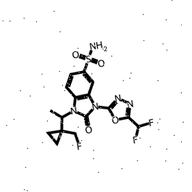 CC(n1c(=O)n(-c2nnc(C(F)F)o2)c2cc(S(N)(=O)=O)ccc21)C1(CF)CC1